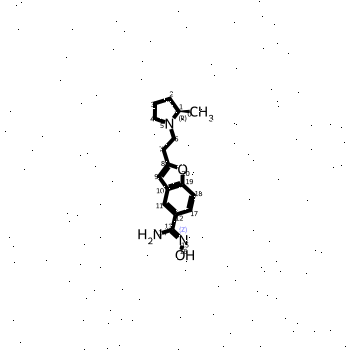 C[C@@H]1CCCN1CCc1cc2cc(/C(N)=N/O)ccc2o1